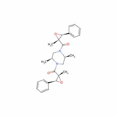 C[C@H]1CN(C(=O)[C@]2(C)O[C@H]2c2ccccc2)[C@@H](C)CN1C(=O)[C@]1(C)O[C@H]1c1ccccc1